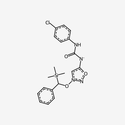 C[Si](C)(C)C(O[n+]1cc([N-]C(=O)Nc2ccc(Cl)cc2)on1)c1ccccc1